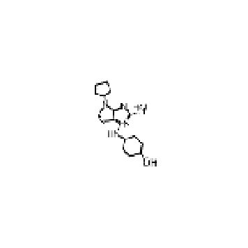 Cl.O[C@H]1CC[C@@H](Nc2nc(Cl)nc3c2ncn3C2CCCC2)CC1